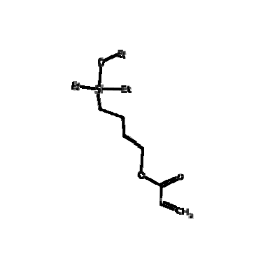 C=CC(=O)OCCCC[Si](CC)(CC)OCC